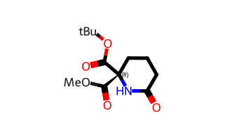 COC(=O)[C@@]1(C(=O)OC(C)(C)C)CCCC(=O)N1